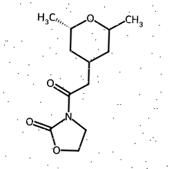 CC1CC(CC(=O)N2CCOC2=O)C[C@H](C)O1